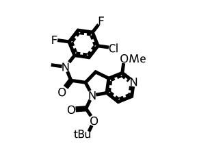 COc1nccc2c1CC(C(=O)N(C)c1cc(Cl)c(F)cc1F)N2C(=O)OC(C)(C)C